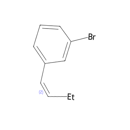 CC/C=C\c1cccc(Br)c1